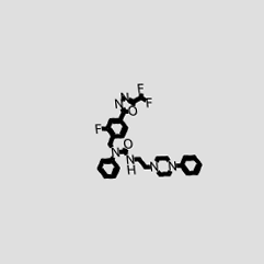 O=C(NCCN1CCN(c2ccccc2)CC1)N(Cc1ccc(-c2nnc(C(F)F)o2)cc1F)c1ccccc1